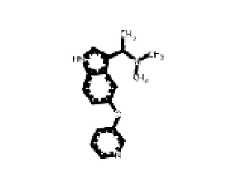 CC(c1c[nH]c2ccc(Oc3cccnc3)cc12)N(C)C